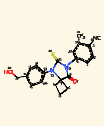 [C-]#[N+]c1ccc(N2C(=O)C3(CCC3)N(c3ccc(CO)cc3)C2=S)cc1C(F)(F)F